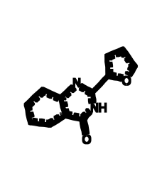 O=c1[nH]c(-c2ccco2)nc2ccccc12